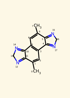 Cc1cc2c3c(c(C)cc2c2c1=NCN=2)=NCN=3